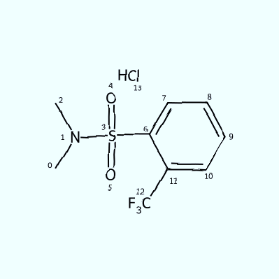 CN(C)S(=O)(=O)c1ccccc1C(F)(F)F.Cl